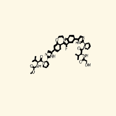 COC(=O)N[C@H](C(=O)N1CCC[C@H]1c1ncc(-c2ccc3c(c2)OCCn2c-3c(F)c3cc(-c4cnc([C@H]5CCCN5C(=O)[C@@H](NC(=O)CO)C(C)C)[nH]4)ccc32)[nH]1)C(C)C